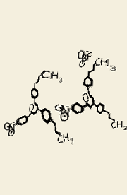 CCCCc1ccc(-c2cc(-c3ccc(CCCC)cc3)[o+]c(-c3ccc([N+](=O)[O-])cc3)c2)cc1.CCCCc1ccc(-c2cc(-c3ccc(CCCC)cc3)[o+]c(-c3ccc([N+](=O)[O-])cc3)c2)cc1.[O-]B([O-])F